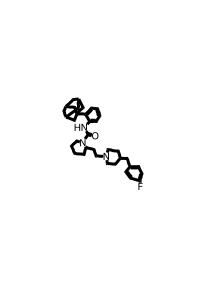 O=C(Nc1ccccc1C12CC3CC(CC(C3)C1)C2)N1CCCCC1CCN1CCC(Cc2ccc(F)cc2)CC1